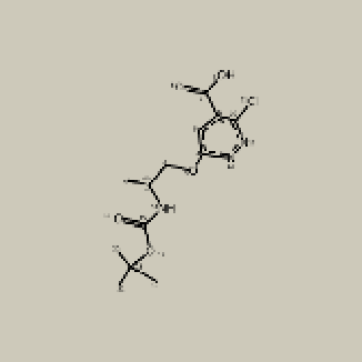 C[C@@H](COc1cc(C(=O)O)c(Cl)nn1)NC(=O)OC(C)(C)C